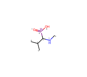 CNC(C(C)C)[PH](=O)O